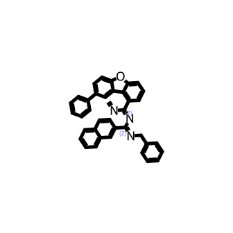 C=N/C(=N\C(=N/Cc1ccccc1)c1ccc2ccccc2c1)c1cccc2oc3ccc(-c4ccccc4)cc3c12